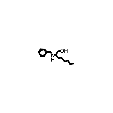 CCCCCCC(CO)NCc1ccccc1